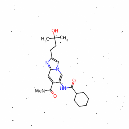 CNC(=O)c1cc2nc(CCC(C)(C)O)cn2cc1NC(=O)C1CCCCC1